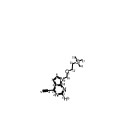 [2H]c1nc(C#C)c2ccn(COCC[Si](C)(C)C)c2n1